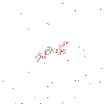 COCOC1C(=O)OC2SC3(SC21)C1CC2CC3CC(OC(=O)C(C)(F)F)(C2)C1